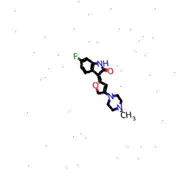 CN1CCN(C2=C/C(=C3\C(=O)Nc4cc(F)ccc43)OC2)CC1